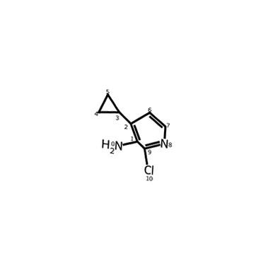 Nc1c(C2CC2)ccnc1Cl